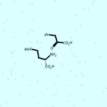 CC(C)CC(=O)C(=O)O.CSCC[C@H](N)C(=O)O